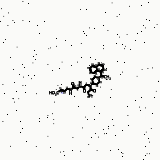 CC(C)CC(=O)N(CC(=O)NCC(=O)NC/C=C/C(=O)O)C1CCN(C(C)c2cccc3ccccc23)CC1